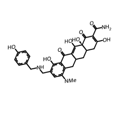 CNc1cc(CNCc2ccc(O)cc2)c(O)c2c1CC1CC3CC(O)=C(C(N)=O)C(=O)[C@@]3(O)C(O)=C1C2=O